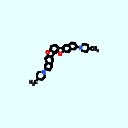 CC1CCN(c2ccc3cc4c(cc3c2)oc2c4ccc3oc4cc5cc(N6CCC(C)CC6)ccc5cc4c32)CC1